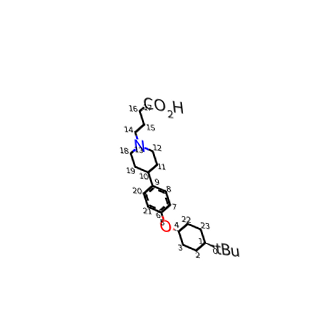 CC(C)(C)[C@H]1CC[C@H](Oc2ccc(C3CCN(CCCC(=O)O)CC3)cc2)CC1